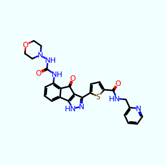 O=C(Nc1cccc2c1C(=O)c1c(-c3ccc(C(=O)NCc4ccccn4)s3)n[nH]c1-2)NN1CCOCC1